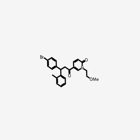 COCCn1cc(C(=O)CC(c2ccc(Br)cc2)c2ccccc2C)ccc1=O